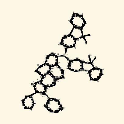 CC1(C)c2ccccc2-c2ccc(N(c3ccc4c(c3)C(C)(C)c3ccccc3-4)c3ccc4ccc5c6[nH]c(-c7ccccc7)c(-c7ccccc7)c6cc6ccc3c4c65)cc21